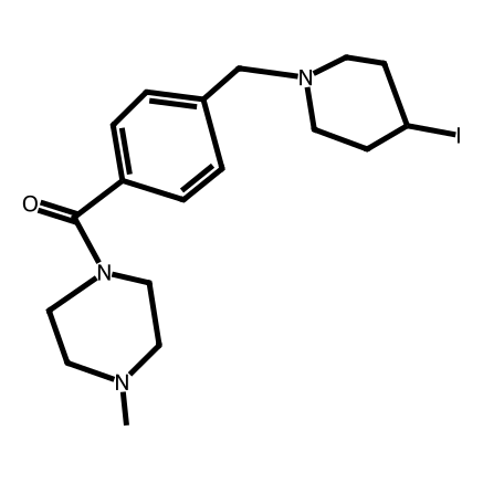 CN1CCN(C(=O)c2ccc(CN3CCC(I)CC3)cc2)CC1